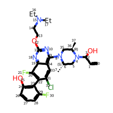 C=CC(O)N1C[C@H](C)N(c2nc(OCCN(CC)CC)nc3c(F)c(-c4c(O)cccc4F)c(Cl)cc23)C[C@H]1C